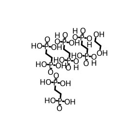 O=P(O)(O)CCP(=O)(O)O.O=P(O)(O)CCP(=O)(O)O.O=P(O)(O)CCP(=O)(O)O.O=P(O)(O)CCP(=O)(O)O.OCCO